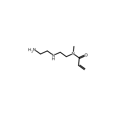 C=CC(=O)N(C)CCNCCN